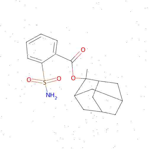 CC1(OC(=O)c2ccccc2S(N)(=O)=O)C2CC3CC(C2)CC1C3